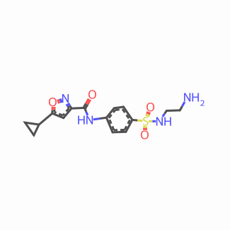 NCCNS(=O)(=O)c1ccc(NC(=O)c2cc(C3CC3)on2)cc1